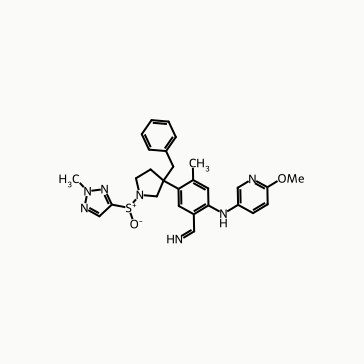 COc1ccc(Nc2cc(C)c(C3(Cc4ccccc4)CCN([S+]([O-])c4cnn(C)n4)C3)cc2C=N)cn1